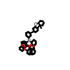 CC12C=CC=CC1Oc1cc(-c3cccc(N(c4ccccc4-c4cccc5cccc(-c6ccccc6)c45)c4cccc5c6ccccc6n(-c6ccccc6)c45)c3)ccc12